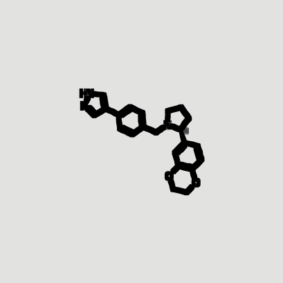 c1cc(-c2cn[nH]c2)ccc1CN1CCC[C@H]1c1ccc2c(c1)OCCO2